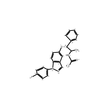 CC(NC(=O)C(F)(F)F)[C@H](Oc1ccc2c(cnn2-c2ccc(F)cc2)c1)c1ccccc1